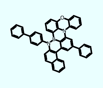 c1ccc(-c2ccc(N3B4c5cccc6c5N(c5ccccc5O6)c5cc(-c6ccccc6)cc(c54)-c4c3ccc3ccccc43)cc2)cc1